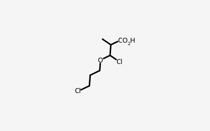 CC(C(=O)O)C(Cl)OCCCCl